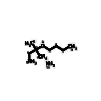 CCCCOC(C)(C)CN.N